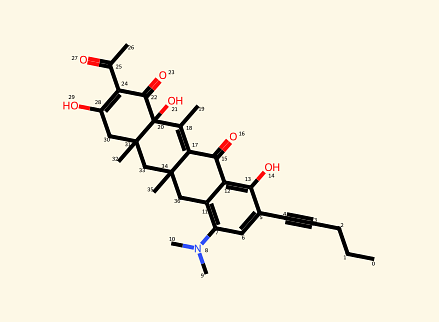 CCCC#Cc1cc(N(C)C)c2c(c1O)C(=O)C1=C(C)C3(O)C(=O)C(C(C)=O)=C(O)CC3(C)CC1(C)C2